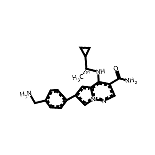 C[C@@H](Nc1c(C(N)=O)cnn2cc(-c3ccc(CN)cc3)cc12)C1CC1